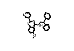 COc1ccc2nc(-c3cccnc3)nc(NCC(c3ccccc3)c3ccccc3)c2c1